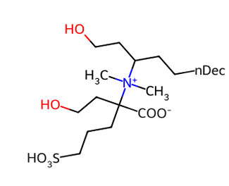 CCCCCCCCCCCCC(CCO)[N+](C)(C)C(CCO)(CCCS(=O)(=O)O)C(=O)[O-]